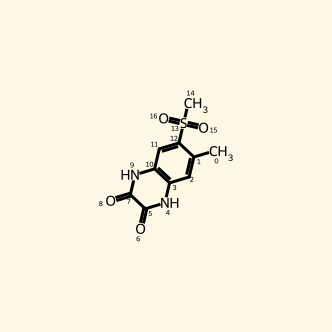 Cc1cc2[nH]c(=O)c(=O)[nH]c2cc1S(C)(=O)=O